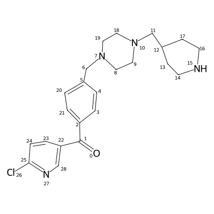 O=C(c1ccc(CN2CCN(CC3CCNCC3)CC2)cc1)c1ccc(Cl)nc1